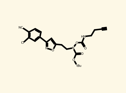 C#CCCNC(=O)ON(CCc1cc(-c2ccc(C#N)c(Cl)c2)no1)C(=O)OC(C)(C)C